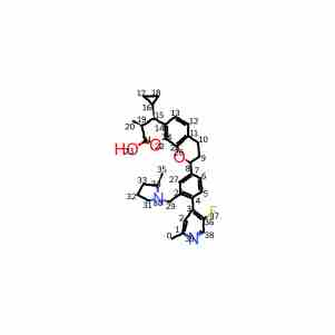 Cc1cc(-c2ccc(C3CCc4ccc([C@H](C5CC5)[C@H](C)C(=O)O)cc4O3)cc2CN2CCC[C@H]2C)c(F)cn1